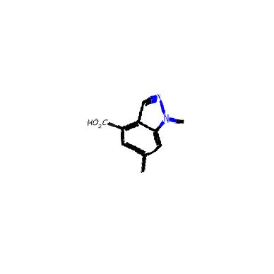 Cc1cc(C(=O)O)c2cnn(C)c2c1